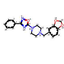 c1ccc(-c2noc(N3CCN(Cc4ccc5c(c4)OCO5)CC3)n2)cc1